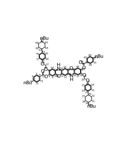 CCCCc1ccc(C(=O)Oc2cc3oc4cc5[nH]c6cc(OCOc7ccc(C8CCC(CCCC)CC8)cc7)c(OC(=O)c7ccc(CCCC)cc7)cc6oc5cc4[nH]c3cc2OCOc2ccc(C3CCC(CCCC)CC3)cc2)cc1